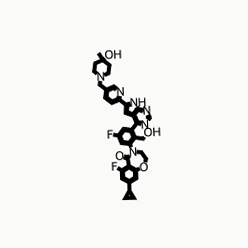 CC1(O)CCN(Cc2ccc(-c3cc4c(-c5cc(F)cc(N6CCOc7cc(C8CC8)cc(F)c7C6=O)c5CO)ncnc4[nH]3)nc2)CC1